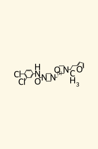 CC(Cc1ccco1)N1CCO[C@@H](CN2CCN(C(=O)Nc3ccc(Cl)c(Cl)c3)CC2)C1